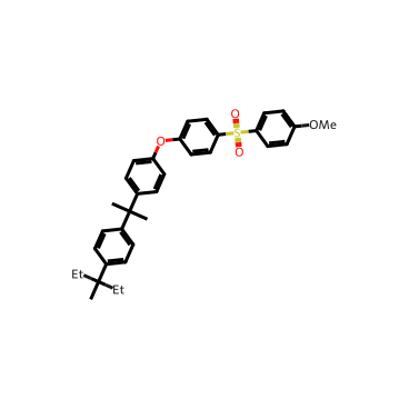 CCC(C)(CC)c1ccc(C(C)(C)c2ccc(Oc3ccc(S(=O)(=O)c4ccc(OC)cc4)cc3)cc2)cc1